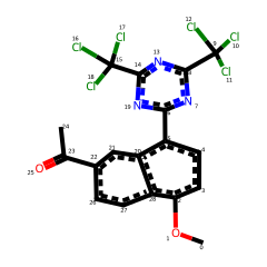 COc1ccc(-c2nc(C(Cl)(Cl)Cl)nc(C(Cl)(Cl)Cl)n2)c2cc(C(C)=O)ccc12